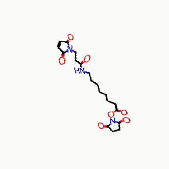 O=C(CCN1C(=O)C=CC1=O)NCCCCCCCC(=O)ON1C(=O)CCC1=O